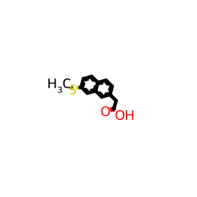 CSc1ccc2ccc(CC(=O)O)cc2c1